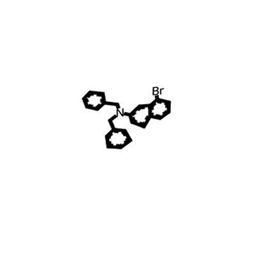 Brc1cccc2ccc(N(Cc3ccccc3)Cc3ccccc3)cc12